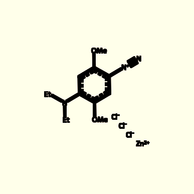 CCN(CC)c1cc(OC)c([N+]#N)cc1OC.[Cl-].[Cl-].[Cl-].[Zn+2]